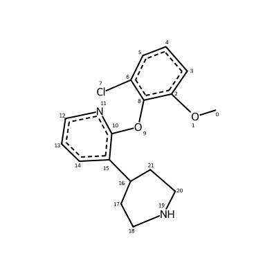 COc1cccc(Cl)c1Oc1ncccc1C1CCNCC1